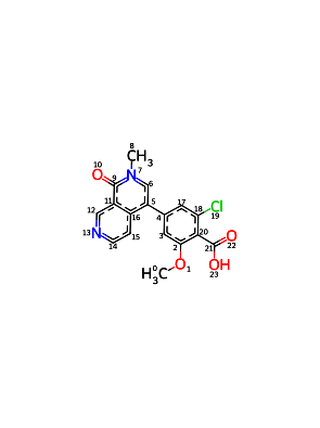 COc1cc(-c2cn(C)c(=O)c3cnccc23)cc(Cl)c1C(=O)O